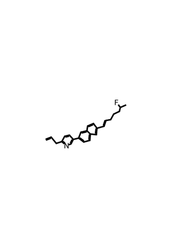 C=CCc1ccc(-c2ccc3cc(/C=C/CCCC(C)F)ccc3c2)cn1